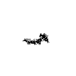 C=C(O)CNC(=O)c1cnc(N2CC(N=O)(c3ccc(OCc4c(-c5c(C)cc(F)cc5Cl)noc4C4CC4)cc3Cl)C2)c(F)c1